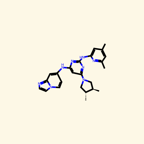 Cc1cc(C)nc(Nc2nc(Nc3ccn4ccnc4c3)cc(N3C[C@@H](C)[C@H](C)C3)n2)c1